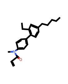 C=CC(=O)N(C)c1ccc(-c2ccc(CCCCC)cc2CC)cc1